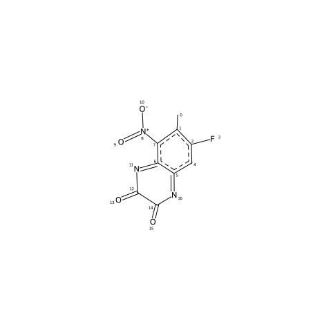 Cc1c(F)cc2c(c1[N+](=O)[O-])=NC(=O)C(=O)N=2